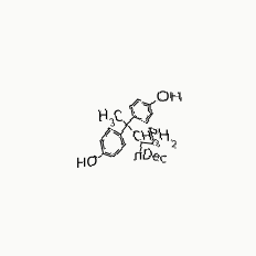 CC(C)(c1ccc(O)cc1)c1ccc(O)cc1.CCCCCCCCCCCCP